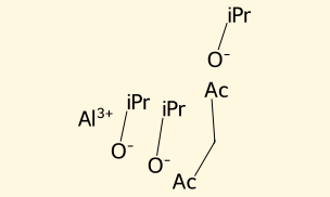 CC(=O)CC(C)=O.CC(C)[O-].CC(C)[O-].CC(C)[O-].[Al+3]